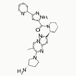 Cc1cn2nc([C@@H]3CCCCN3C(=O)c3cc(-c4ccccn4)n[nH]3)cc2nc1N1CC[C@H](N)C1